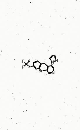 FC(F)(F)Sc1ccc(Cc2c(Br)cncc2-n2cccn2)cc1